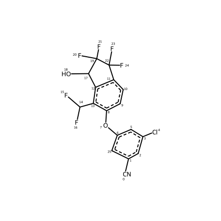 N#Cc1cc(Cl)cc(Oc2ccc3c(c2C(F)F)C(O)C(F)(F)C3(F)F)c1